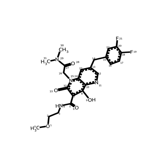 COCCNC(=O)c1c(O)c2ncc(Cc3ccc(F)c(F)c3)cc2n(CC(=O)N(C)C)c1=O